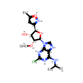 CCc1cc([C@H]2O[C@@H](n3cnc4c(NC(CC)CC)nc(Cl)nc43)[C@H](OC=O)[C@@H]2O)no1